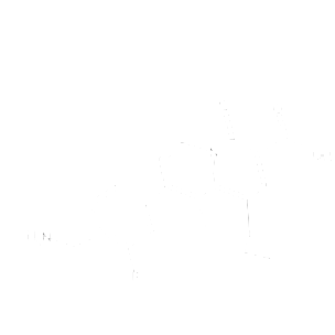 Cc1c(-c2ccc(CN)c(F)c2)ccn2c(=O)c(C(=O)O)cc(C3CC3)c12